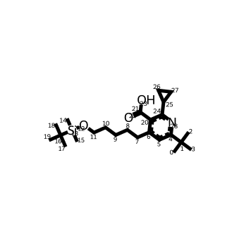 CC(C)(C)c1cc(CCCCCO[Si](C)(C)C(C)(C)C)c(C(=O)O)c(C2CC2)n1